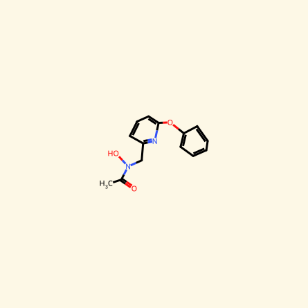 CC(=O)N(O)Cc1cccc(Oc2ccccc2)n1